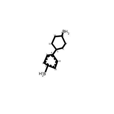 Bc1ccc(C2CCC(B)CC2)cc1